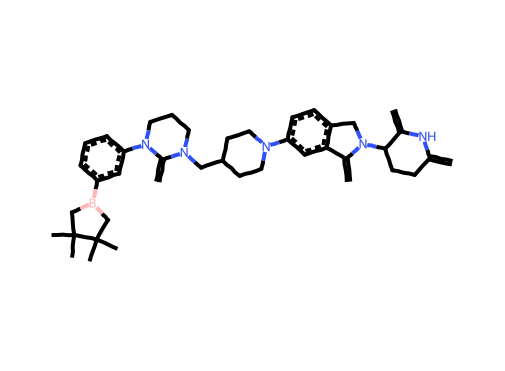 C=C1CCC(N2Cc3ccc(N4CCC(CN5CCCN(c6cccc(B7CC(C)(C)C(C)(C)C7)c6)C5=C)CC4)cc3C2=C)C(=C)N1